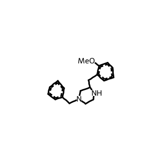 COc1ccccc1CC1CN(Cc2ccccc2)CCN1